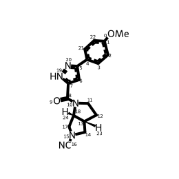 COc1ccc(-c2cc(C(=O)N3CC[C@@H]4CN(C#N)C[C@@H]43)[nH]n2)cc1